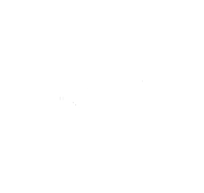 CCCCCCCCCCCCCCCC[N+](C)(C)C.O